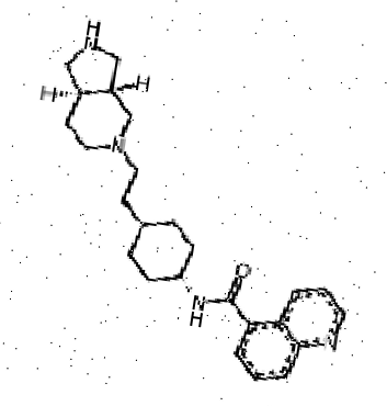 O=C(N[C@H]1CC[C@H](CCN2CC[C@H]3CNC[C@@H]3C2)CC1)c1cccc2ncccc12